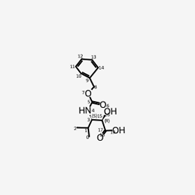 CC(C)[C@H](NC(=O)OCc1ccccc1)[C@@H](O)C(=O)O